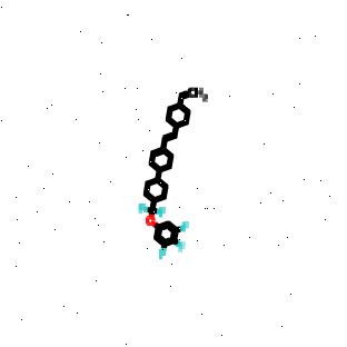 C=CC1CCC(/C=C/C2=CCC(C3CCC(C(F)(F)Oc4cc(F)c(F)c(F)c4)CC3)CC2)CC1